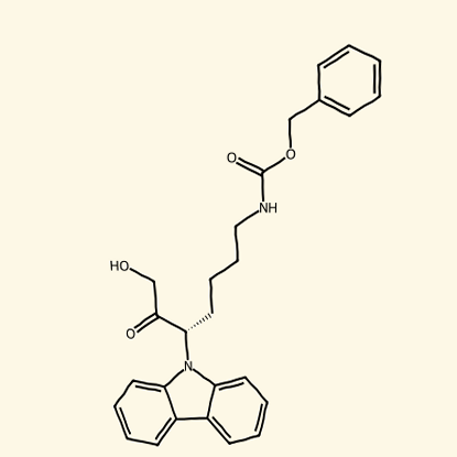 O=C(NCCCC[C@@H](C(=O)CO)n1c2ccccc2c2ccccc21)OCc1ccccc1